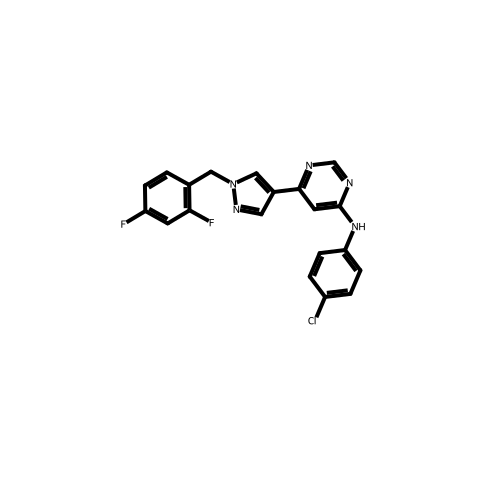 Fc1ccc(Cn2cc(-c3cc(Nc4ccc(Cl)cc4)ncn3)cn2)c(F)c1